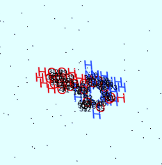 N=C1NCC(C(O)[C@@H]2NC(=O)[C@@H](Cc3ccc(O[C@H]4O[C@H](CO)[C@@H](O[C@H]5O[C@H](CO)[C@@H](O)[C@H](O)[C@@H]5O)[C@H](O)[C@@H]4O)cc3)NC(=O)[C@H](Cc3ccccc3)NC(=O)CNC(=O)[C@H](CO)NC(=O)[C@@H](C(O)C3CNC(=N)N3)NC2=O)N1